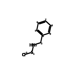 ClSNCc1ccccc1